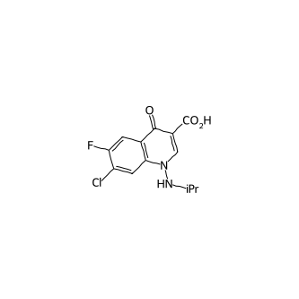 CC(C)Nn1cc(C(=O)O)c(=O)c2cc(F)c(Cl)cc21